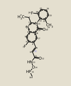 CCc1nc2cc(F)c(/C=C/C(=O)NOPI)cc2c(=O)n1-c1c(C)cccc1F